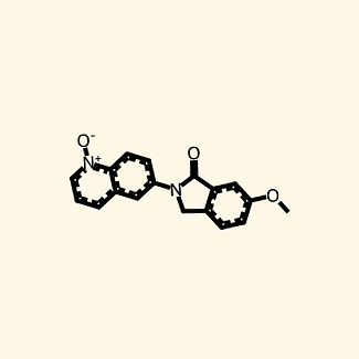 COc1ccc2c(c1)C(=O)N(c1ccc3c(ccc[n+]3[O-])c1)C2